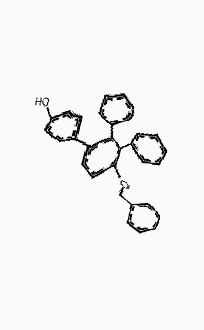 Oc1ccc(-c2ccc(OCc3ccccc3)c(-c3ccccc3)c2-c2ccccc2)cc1